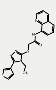 CCn1c(SCC(=O)Nc2cccc3cccnc23)nnc1-c1ccsc1